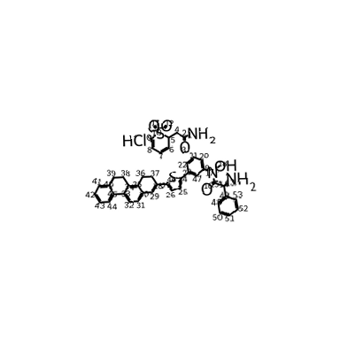 Cl.NC(=O)CC1C=CC=CS1(=O)=O.NC(C(=O)N(O)c1cccc(-c2ccc(C3=Cc4ccc5c(c4CC3)CCc3ccccc3-5)s2)c1)c1ccccc1